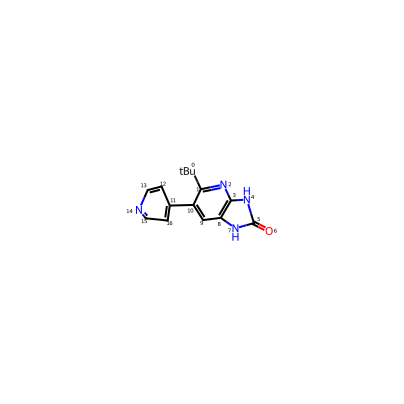 CC(C)(C)c1nc2[nH]c(=O)[nH]c2cc1-c1ccncc1